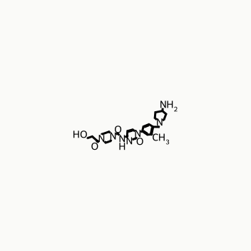 Cc1cc(-n2ccc(NC(=O)N3CCN(C(=O)CCO)CC3)nc2=O)ccc1CN1CCC(N)CC1